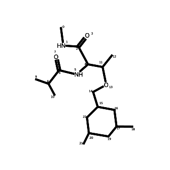 CNC(=O)C(NC(=O)C(C)C)C(C)OCC1CC(C)CC(C)C1